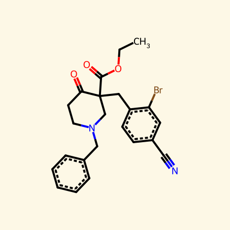 CCOC(=O)C1(Cc2ccc(C#N)cc2Br)CN(Cc2ccccc2)CCC1=O